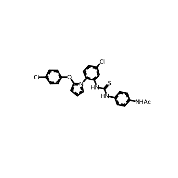 CC(=O)Nc1ccc(NC(=S)Nc2cc(Cl)ccc2-n2cccc2Oc2ccc(Cl)cc2)cc1